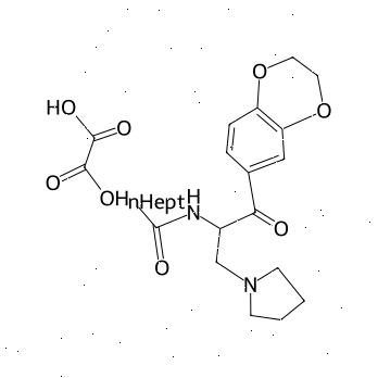 CCCCCCCC(=O)NC(CN1CCCC1)C(=O)c1ccc2c(c1)OCCO2.O=C(O)C(=O)O